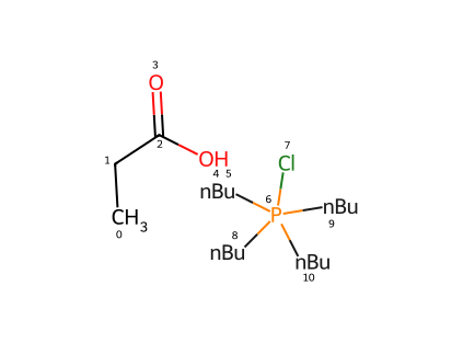 CCC(=O)O.CCCCP(Cl)(CCCC)(CCCC)CCCC